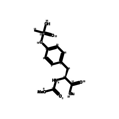 COC(=O)N[C@@H](Cc1ccc(OP(C)(=O)O)cc1)C(=O)C(C)(C)C